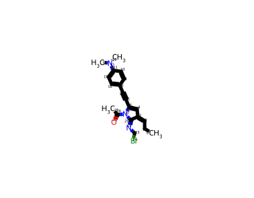 CC/C=C1/C=C(C#Cc2ccc(N(C)C)cc2)N(C(C)=O)/C1=N/CBr